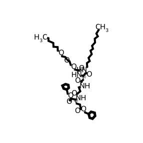 CCCCCCCCCCCCCCNC(=O)[C@H](CC(=O)NCCC(=O)N[C@@H](CCC(=O)OCc1ccccc1)C(=O)OCc1ccccc1)NC(=O)COCCOCCOCCCCCCC